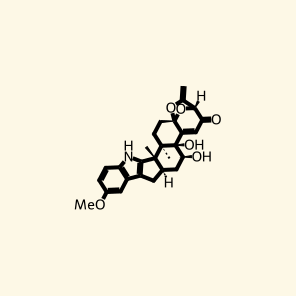 C=C1O[C@@]23CC[C@]4(C)[C@@]5(C)c6[nH]c7ccc(OC)cc7c6C[C@@H]5C[C@H](O)[C@@]4(O)C2=CC(=O)[C@@H]1O3